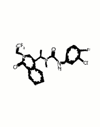 CC(c1cn(CC(F)(F)F)c(=O)c2ccccc12)N(C)C(=O)Nc1ccc(F)c(Cl)c1